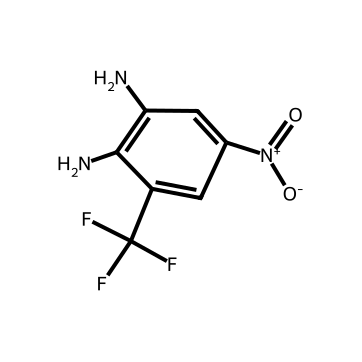 Nc1cc([N+](=O)[O-])cc(C(F)(F)F)c1N